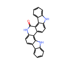 O=c1[nH]c2ccc3c4ccccc4[nH]c3c2c2ccc3[nH]c4ccccc4c3c12